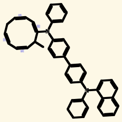 CC1/C=C\C=C/C/C=C\C=C/1N(c1ccccc1)c1ccc(-c2ccc(N(C3=CCCC=C3)c3cccc4ccccc34)cc2)cc1